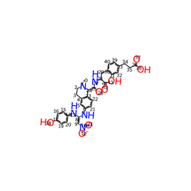 CN1CCc2cc(NC(=C[N+](=O)[O-])Nc3ccc(O)cc3)ccc2C1C(=O)NC(Cc1ccc(CCC(=O)O)cc1)C(=O)O